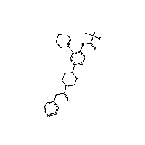 O=C(Cc1ccncc1)N1CCC(c2ccc(NC(=O)C(F)(F)F)c(C3=CCCCC3)c2)CC1